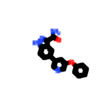 NC(=O)c1n[nH]c2ccc(-c3cncc(Oc4ccccc4)c3)cc12